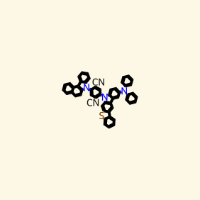 N#Cc1cc(-n2c3ccccc3c3c4ccccc4ccc32)c(C#N)cc1-n1c2ccc(N(c3ccccc3)c3ccccc3)cc2c2cc3c(cc21)sc1ccccc13